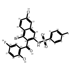 Cc1ccc(S(=O)(=O)Nc2cc3cc(Cl)ccc3c(Br)c2C(=O)c2cc(F)ccc2Cl)cc1